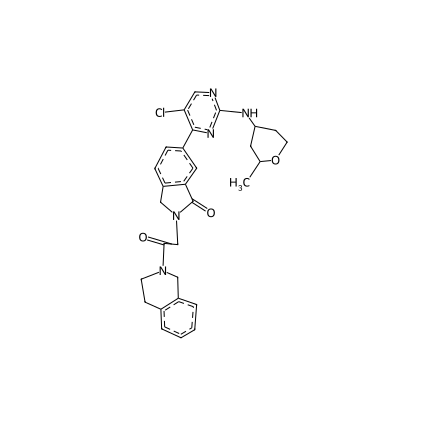 CC1CC(Nc2ncc(Cl)c(-c3ccc4c(c3)C(=O)N(CC(=O)N3CCc5ccccc5C3)C4)n2)CCO1